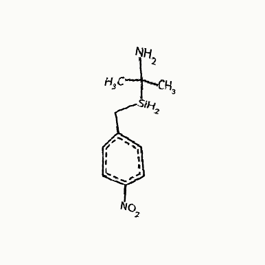 CC(C)(N)[SiH2]Cc1ccc([N+](=O)[O-])cc1